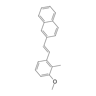 COc1cccc(/C=C/c2ccc3ccccc3c2)c1C